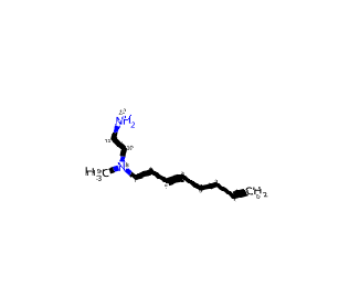 C=CCCC=CCCN(C)CCN